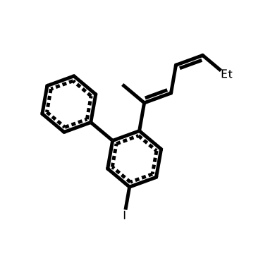 CC/C=C\C=C(/C)c1ccc(I)cc1-c1ccccc1